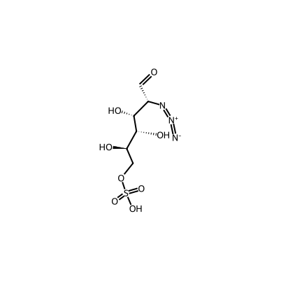 [N-]=[N+]=N[C@@H](C=O)[C@@H](O)[C@H](O)[C@H](O)COS(=O)(=O)O